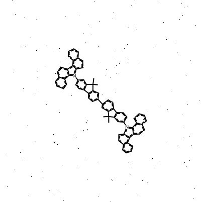 CC1(C)c2cc(-c3ccc4c(c3)C(C)(C)c3cc(-n5c6ccc7ccccc7c6c6ccc7ccccc7c65)ccc3-4)ccc2-c2ccc(-n3c4ccc5ccccc5c4c4ccc5ccccc5c43)cc21